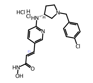 Cl.Cl.O=C(/C=C/c1ccc(N[C@@H]2CCN(Cc3ccc(Cl)cc3)C2)nc1)NO